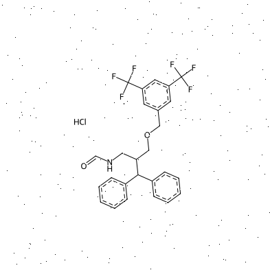 Cl.O=CNCC(COCc1cc(C(F)(F)F)cc(C(F)(F)F)c1)C(c1ccccc1)c1ccccc1